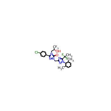 Cc1cccc(C)c1-n1nc(Cn2nc(-c3ccc(Cl)cc3)n(CC(O)C(F)(F)F)c2=O)nc1C(C)(F)F